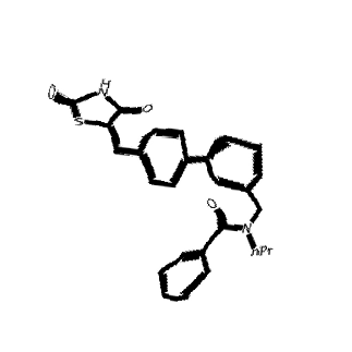 CCCN(Cc1cccc(-c2ccc(C=C3SC(=O)NC3=O)cc2)c1)C(=O)c1ccccc1